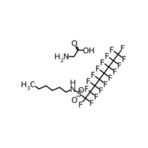 CCCCCCNS(=O)(=O)C(F)(F)C(F)(F)C(F)(F)C(F)(F)C(F)(F)C(F)(F)C(F)(F)C(F)(F)F.NCC(=O)O